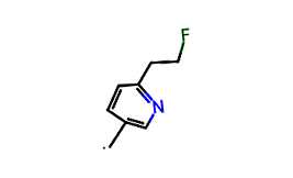 [CH2]c1ccc(CCF)nc1